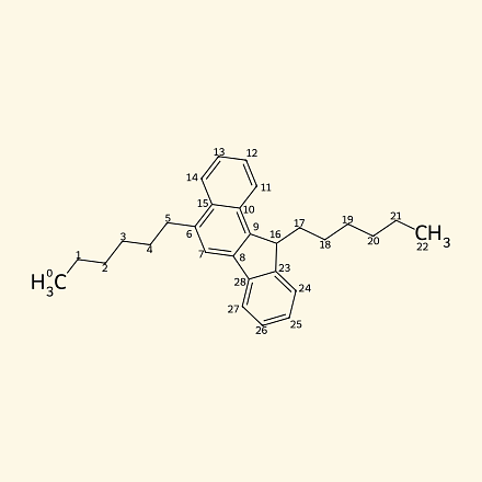 CCCCCCc1cc2c(c3ccccc13)C(CCCCCC)c1ccccc1-2